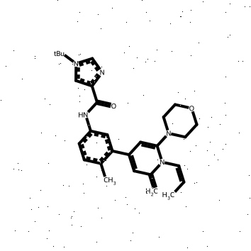 C=C1C=C(c2cc(NC(=O)c3cn(C(C)(C)C)cn3)ccc2C)C=C(N2CCOCC2)N1/C=C\C